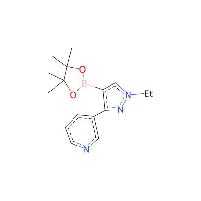 CCn1cc(B2OC(C)(C)C(C)(C)O2)c(-c2cccnc2)n1